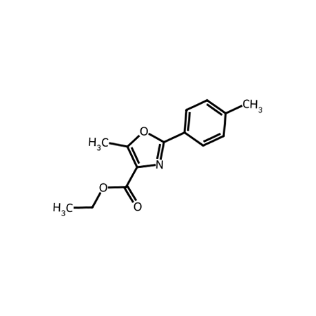 CCOC(=O)c1nc(-c2ccc(C)cc2)oc1C